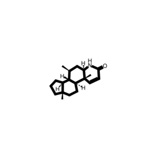 C[C@H]1C[C@H]2NC(=O)C=C[C@]2(C)[C@H]2CC[C@]3(C)CCC[C@H]3[C@H]12